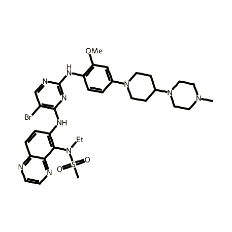 CCN(c1c(Nc2nc(Nc3ccc(N4CCC(N5CCN(C)CC5)CC4)cc3OC)ncc2Br)ccc2nccnc12)S(C)(=O)=O